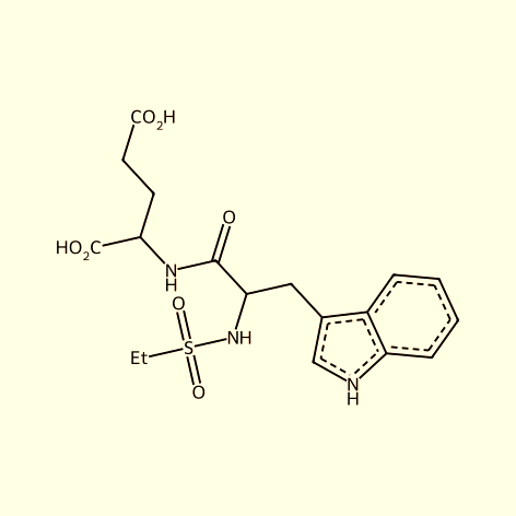 CCS(=O)(=O)NC(Cc1c[nH]c2ccccc12)C(=O)NC(CCC(=O)O)C(=O)O